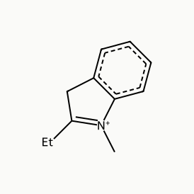 CCC1=[N+](C)c2ccccc2C1